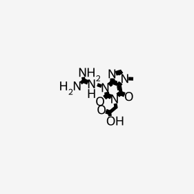 Cn1cnc2c1c(=O)n(CC(=O)O)c(=O)n2C.N=C(N)N